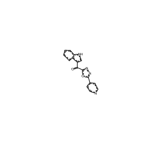 O=C(c1nnc(-c2ccncc2)o1)c1c[nH]c2ccccc12